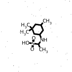 CC1CC(NC(C)S(=O)(=O)O)CC(C)(C)C1